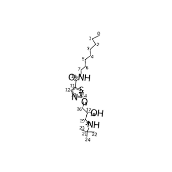 CCCCCCCCNC(=O)c1cnc(OCC(O)CNC(C)(C)C)s1